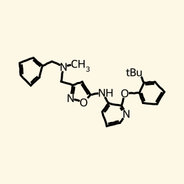 CN(Cc1ccccc1)Cc1cc(Nc2cccnc2Oc2ccccc2C(C)(C)C)on1